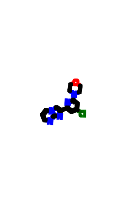 Clc1cc(-c2cn3cccnc3n2)nc(N2CCOCC2)c1